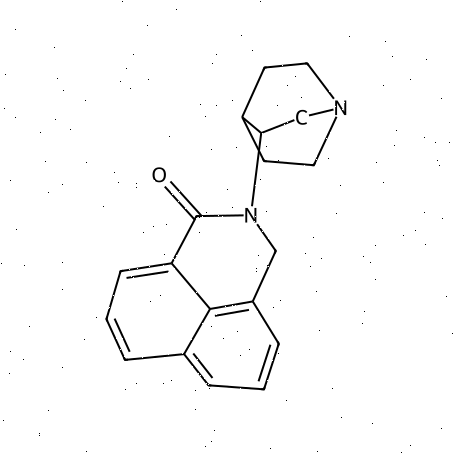 O=C1c2cccc3cccc(c23)CN1C1CN2CCC1CC2